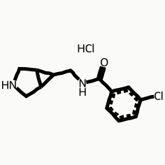 Cl.O=C(NCC1C2CNCC21)c1cccc(Cl)c1